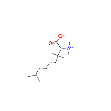 CC(C)CCCCC(C)(C)C(C(=O)[O-])[N+](C)(C)C